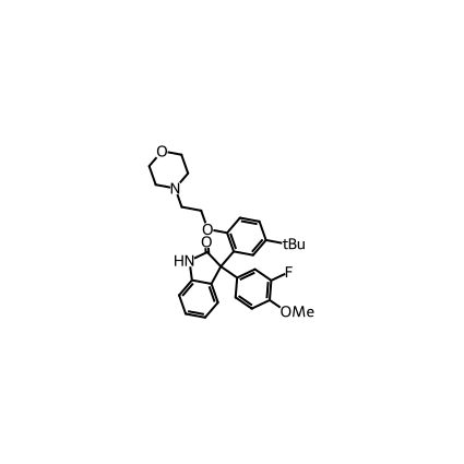 COc1ccc(C2(c3cc(C(C)(C)C)ccc3OCCN3CCOCC3)C(=O)Nc3ccccc32)cc1F